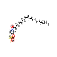 CCCCCCCC/C=C\CCCCCCCC(=O)N1CC[C@H](O[PH](O)=S)C1